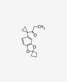 CCC(=O)C1(c2ccc3c(c2)OC2(CCC2)O3)CC1